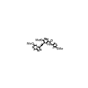 COc1cn2c(C#Cc3cc(C(=O)Nc4csc(SC)c4)nnc3OC)nnc2cn1